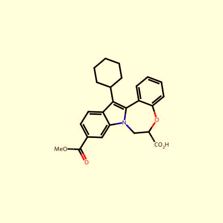 COC(=O)c1ccc2c(C3CCCCC3)c3n(c2c1)CC(C(=O)O)Oc1ccccc1-3